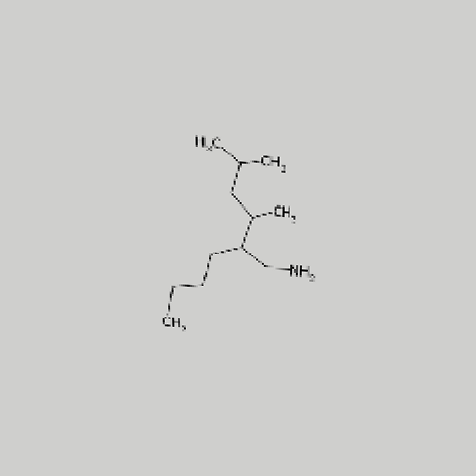 CCCCC(CN)C(C)CC(C)C